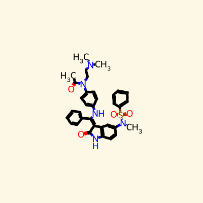 CC(=O)N(CCN(C)C)c1ccc(NC(=C2C(=O)Nc3ccc(N(C)S(=O)(=O)c4ccccc4)cc32)c2ccccc2)cc1